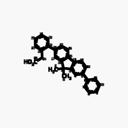 CC1(C)c2cc(-c3ccccc3)ccc2-c2ccc(-c3ccccc3CC(=O)O)cc21